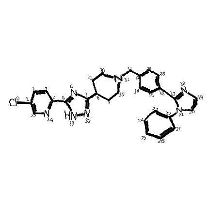 Clc1ccc(-c2nc(C3CCN(Cc4ccc(-c5nccn5-c5ccccc5)cc4)CC3)n[nH]2)nc1